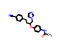 CC(=O)Nc1ccc(OC(CCc2ccc(C#N)cc2)Cn2ccnc2)cc1